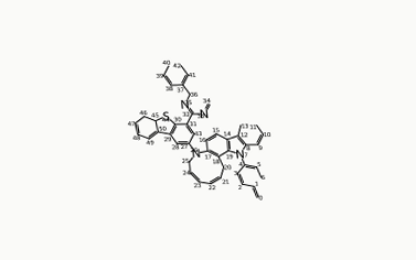 C=C/C=C\C(=C/C)n1c(/C=C\C)c(C)c2ccc3c(c21)C/C=C\C=C/CN3c1cc2c(c(/C(N=C)=N/CC(/C=C\C)=C/C)c1)SC1CC=CC=C21